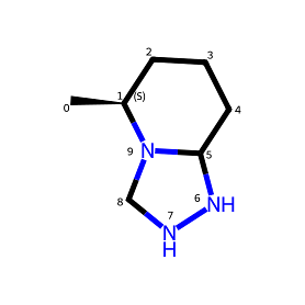 C[C@H]1CCCC2NNCN21